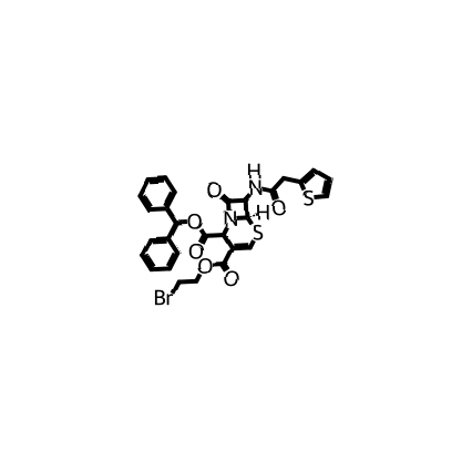 O=C(Cc1cccs1)NC1C(=O)N2C(C(=O)OC(c3ccccc3)c3ccccc3)C(C(=O)OCCBr)=CS[C@H]12